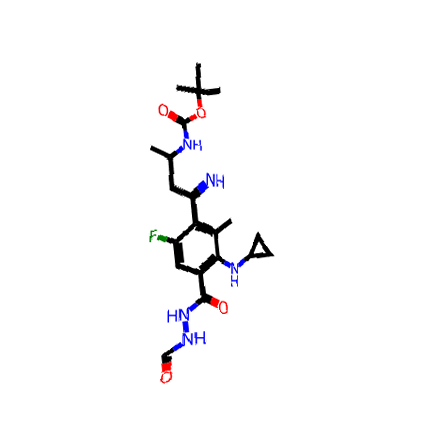 Cc1c(NC2CC2)c(C(=O)NNC=O)cc(F)c1C(=N)CC(C)NC(=O)OC(C)(C)C